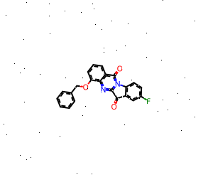 O=C1c2cc(F)ccc2-n2c1nc1c(OCc3ccccc3)cccc1c2=O